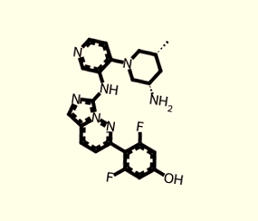 C[C@@H]1C[C@H](N)CN(c2ccncc2Nc2ncc3ccc(-c4c(F)cc(O)cc4F)nn23)C1